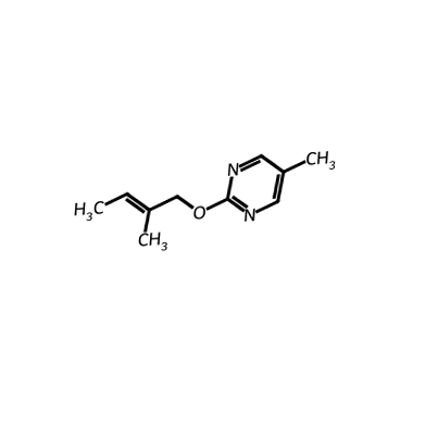 C/C=C(\C)COc1ncc(C)cn1